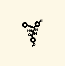 COc1ccc(C(=O)NC(=N)NC(C#Cc2ccccc2)c2ccc(Cl)cc2)cc1